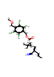 C/C=C/C(C#N)=C/[C@@H]1[C@@H](C(=O)OCc2c(F)c(F)c(COC)c(F)c2F)C1(C)C